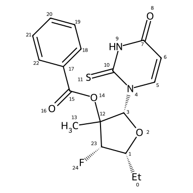 CC[C@H]1O[C@@H](n2ccc(=O)[nH]c2=S)C(C)(OC(=O)c2ccccc2)[C@H]1F